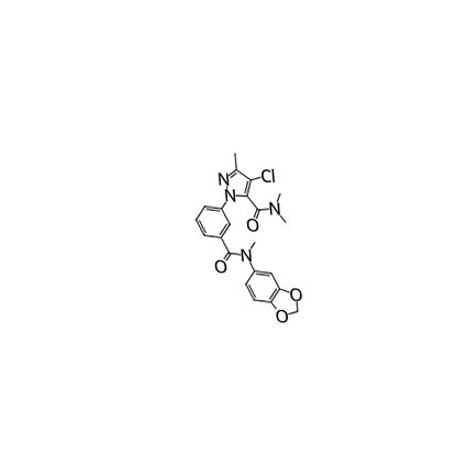 Cc1nn(-c2cccc(C(=O)N(C)c3ccc4c(c3)OCO4)c2)c(C(=O)N(C)C)c1Cl